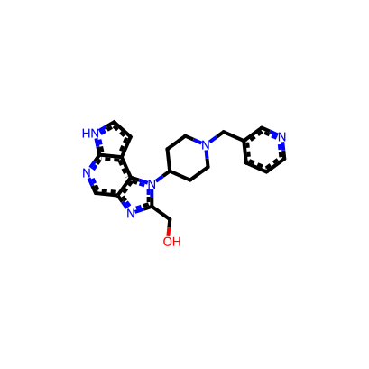 OCc1nc2cnc3[nH]ccc3c2n1C1CCN(Cc2cccnc2)CC1